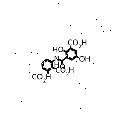 O=C(O)c1cc(O)cc(C(=O)Nc2cccc(C(=O)O)c2C(=O)O)c1O